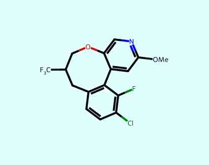 COc1cc2c(cn1)OCC(C(F)(F)F)Cc1ccc(Cl)c(F)c1-2